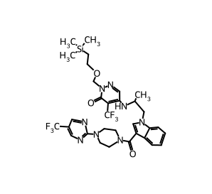 CC(Cn1cc(C(=O)N2CCN(c3ncc(C(F)(F)F)cn3)CC2)c2ccccc21)Nc1cnn(COCC[Si](C)(C)C)c(=O)c1C(F)(F)F